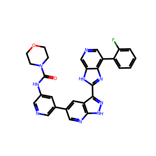 O=C(Nc1cncc(-c2cnc3[nH]nc(-c4nc5c(-c6ccccc6F)cncc5[nH]4)c3c2)c1)N1CCOCC1